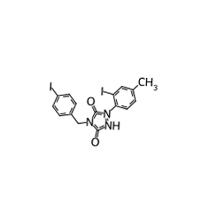 Cc1ccc(-n2[nH]c(=O)n(Cc3ccc(I)cc3)c2=O)c(I)c1